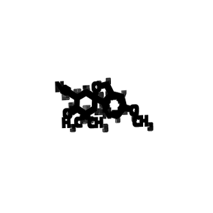 COc1cnc2c(c1)COC21CC(C#N)C(=O)C(C)(C)C1